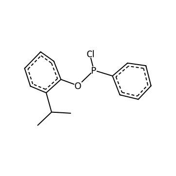 CC(C)c1ccccc1OP(Cl)c1ccccc1